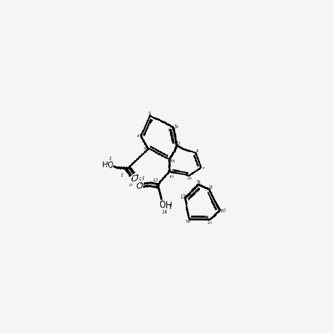 O=C(O)c1cccc2cccc(C(=O)O)c12.c1ccccc1